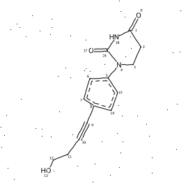 O=C1CCN(c2ccc(C#CCCO)cc2)C(=O)N1